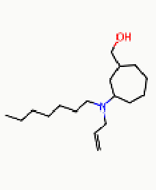 C=CCN(CCCCCCC)C1CCCCC(CO)C1